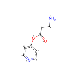 NCCC(=O)Oc1ccncc1